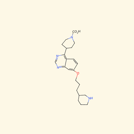 O=C(O)N1CCC(c2ncnc3cc(OCCCC4CCCNC4)ccc23)CC1